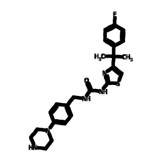 CC(C)(c1ccc(F)cc1)c1csc(NC(=O)NCc2ccc(N3CCNCC3)cc2)n1